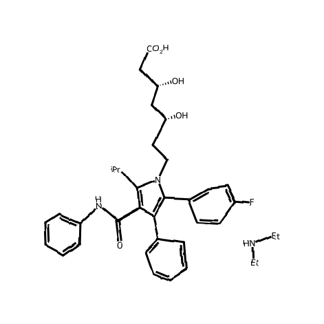 CC(C)c1c(C(=O)Nc2ccccc2)c(-c2ccccc2)c(-c2ccc(F)cc2)n1CC[C@@H](O)C[C@@H](O)CC(=O)O.CCNCC